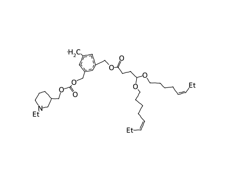 [CH2]c1cc(COC(=O)CCC(OCCCC/C=C\CC)OCCCC/C=C\CC)cc(COC(=O)OCC2CCCN(CC)C2)c1